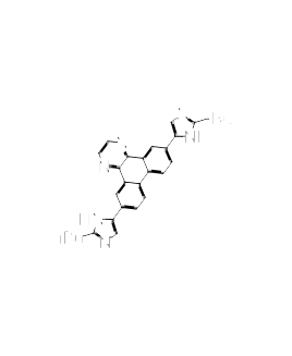 CCC(C)c1ncc(-c2ccc3c4ccc(-c5cnc(C(C)CC)[nH]5)cc4c4nccnc4c3c2)[nH]1